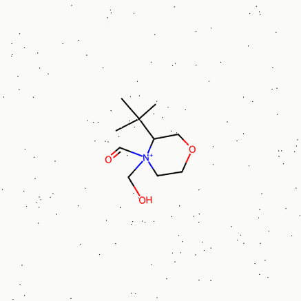 CC(C)(C)C1COCC[N+]1(C=O)CO